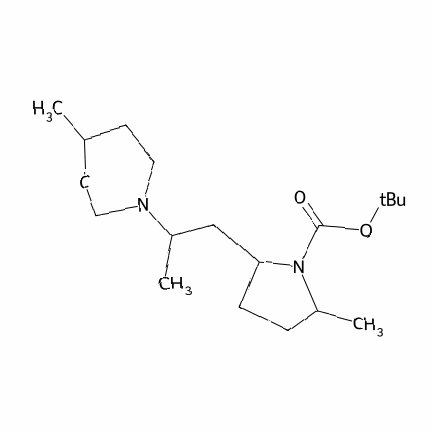 CC1CCN(C(C)CC2CCC(C)N2C(=O)OC(C)(C)C)CC1